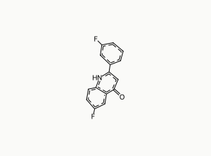 O=c1cc(-c2cccc(F)c2)[nH]c2ccc(F)cc12